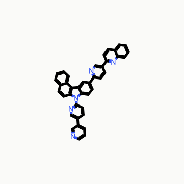 c1cncc(-c2ccc(-n3c4ccc(-c5ccc(-c6ccc7ccccc7n6)cn5)cc4c4c5ccccc5ccc43)nc2)c1